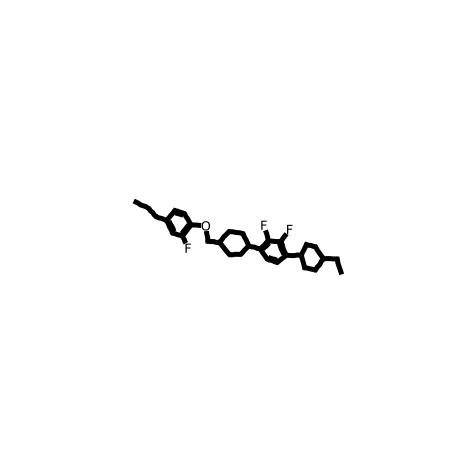 CCCc1ccc(OCC2CCC(c3ccc(C4CCC(CC)CC4)c(F)c3F)CC2)c(F)c1